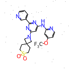 O=S1(=O)CCC2(CC1)CN(c1cc(Nc3cc(OC(F)(F)F)ccn3)nc(-c3cccnc3)n1)C2